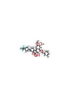 COc1cc2c(OCc3ccccc3)cc(C(=O)O)c(-c3ccc(-c4ccc(C(F)(F)F)cc4)cc3)c2cc1OC